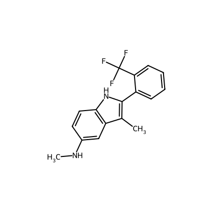 CNc1ccc2[nH]c(-c3ccccc3C(F)(F)F)c(C)c2c1